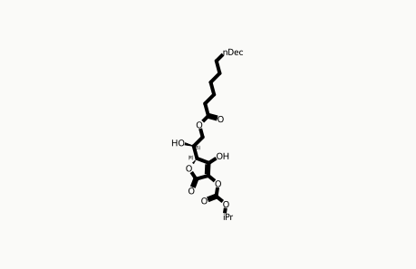 CCCCCCCCCCCCCCCC(=O)OC[C@H](O)[C@H]1OC(=O)C(OC(=O)OC(C)C)=C1O